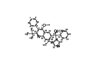 COc1c(-c2ccccc2)c(C(F)(F)F)nc2ccc(C(O)(c3ccccn3)c3cncn3CI)cc12